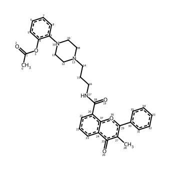 CC(=O)Oc1ccccc1N1CCN(CCCNC(=O)c2cccc3c(=O)c(C)c(-c4ccccc4)oc23)CC1